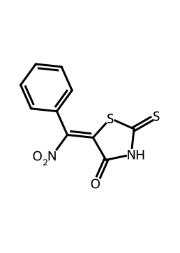 O=C1NC(=S)SC1=C(c1ccccc1)[N+](=O)[O-]